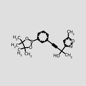 Cc1cc(C(C)(O)C#Cc2cccc(B3OC(C)(C)C(C)(C)O3)c2)no1